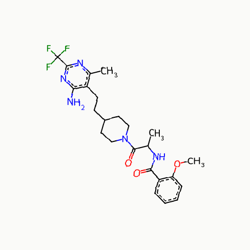 COc1ccccc1C(=O)NC(C)C(=O)N1CCC(CCc2c(C)nc(C(F)(F)F)nc2N)CC1